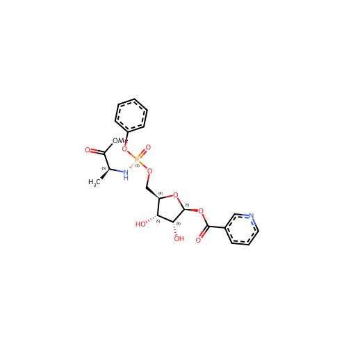 COC(=O)[C@H](C)N[P@](=O)(OC[C@H]1O[C@@H](OC(=O)c2cccnc2)[C@H](O)[C@@H]1O)Oc1ccccc1